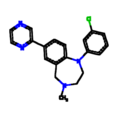 CN1CCN(c2cccc(Cl)c2)c2ccc(-c3cnccn3)cc2C1